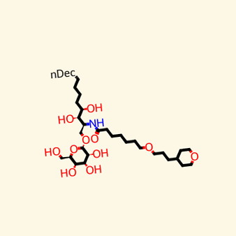 CCCCCCCCCCCCCC[C@@H](O)[C@@H](O)[C@H](CO[C@H]1O[C@H](CO)[C@H](O)[C@H](O)[C@H]1O)NC(=O)CCCCCCOCCCC1CCOCC1